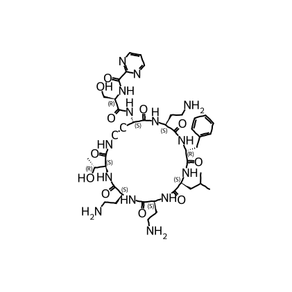 CC(C)C[C@@H]1NC(=O)[C@@H](Cc2ccccc2)NC(=O)[C@H](CCN)NC(=O)[C@@H](NC(=O)[C@@H](CO)NC(=O)c2ncccn2)CCNC(=O)[C@H]([C@@H](C)O)NC(=O)[C@H](CCN)NC(=O)[C@H](CCN)NC1=O